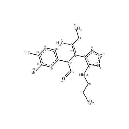 CC/C(C)=C(\c1nonc1NCCN)N(C=O)c1ccc(F)c(Br)c1